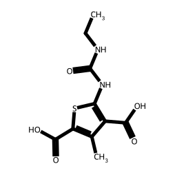 CCNC(=O)Nc1sc(C(=O)O)c(C)c1C(=O)O